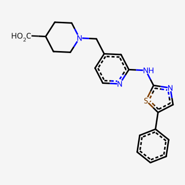 O=C(O)C1CCN(Cc2ccnc(Nc3ncc(-c4ccccc4)s3)c2)CC1